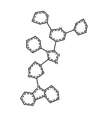 c1ccc(-c2cc(-c3nnc(-c4ccnc(-n5c6ccccc6c6ccccc65)c4)n3-c3ccccc3)cc(-c3ccccc3)n2)cc1